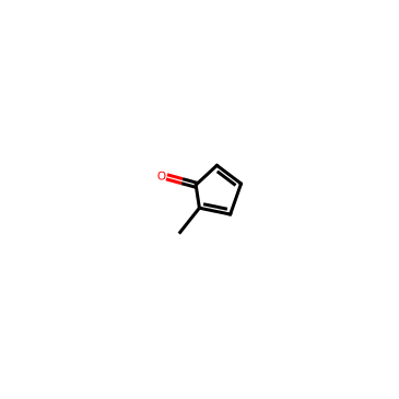 CC1=CC=CC1=O